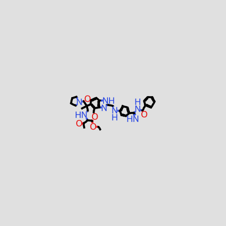 CCOC(=O)C(NCC(C)(C(=O)N1CCCC1)c1ccc2[nH]c(CNc3ccc(C(=N)NC(=O)c4ccccc4)cc3)nc2c1C)C(C)=O